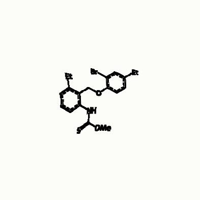 CCc1ccc(OCc2c(CC)cccc2NC(=S)OC)c(Br)c1